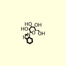 OC[C@H]1OC(n2cnc3ccccc32)[C@H](O)[C@@H](O)[C@@H]1O